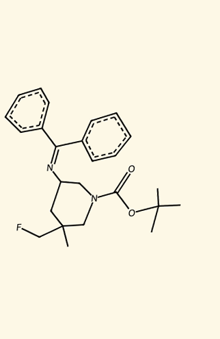 CC1(CF)CC(N=C(c2ccccc2)c2ccccc2)CN(C(=O)OC(C)(C)C)C1